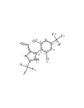 O=S=c1nc(C(F)(F)F)[nH]n1-c1c(Cl)cc(C(F)(F)F)cc1Cl